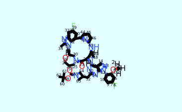 [2H]C([2H])([2H])Oc1cc(F)ccc1-n1ncc2c(N3C[C@@H]4C[C@H]3C(=O)N3CCCO[C@H](C3)Cn3c(C)nc5cc(F)cc(c53)-c3cccc(n3)N4)nc(CC3CN(C(=O)OC(C)(C)C)C3)nc21